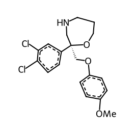 COc1ccc(OC[C@]2(c3ccc(Cl)c(Cl)c3)CNCCCO2)cc1